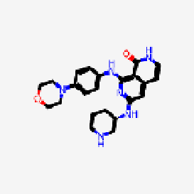 O=c1[nH]ccc2cc(N[C@@H]3CCCNC3)nc(Nc3ccc(N4CCOCC4)cc3)c12